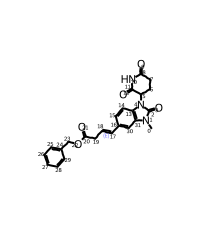 Cn1c(=O)n(C2CCC(=O)NC2=O)c2ccc(/C=C/CC(=O)OCc3ccccc3)cc21